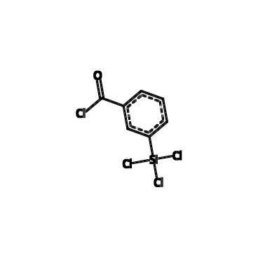 O=C(Cl)c1cccc([Si](Cl)(Cl)Cl)c1